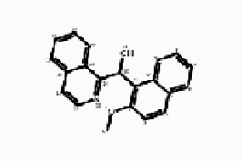 COc1ccc2ccccc2c1C(O)c1nccc2ccccc12